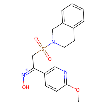 COc1ccc(/C(CS(=O)(=O)N2CCc3ccccc3C2)=N\O)cn1